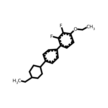 CCOc1ccc(-c2ccc(C3CCC(CC)CC3)cc2)c(F)c1F